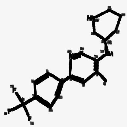 Cc1cc(-c2ccc(C(F)(F)F)cc2)nnc1N[C@@H]1CCCNC1